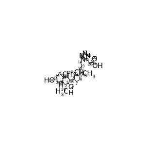 CC[C@H]1[C@@H](O)C2C3CC[C@H]([C@H](C)CCCn4nnnc4CC(=O)O)[C@@]3(C)CCC2[C@@]2(C)CC[C@@H](O)C[C@@H]12